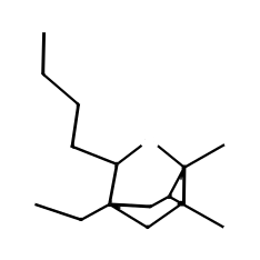 CCCCC1OC2(C)CCC1(CC)CC2C